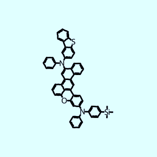 C[Si](C)(C)c1ccc(N(c2ccccc2)c2ccc3c(c2)Oc2cccc4c2c-3cc2c3ccccc3c(N(c3ccccc3)c3ccc5sc6ccccc6c5c3)cc42)cc1